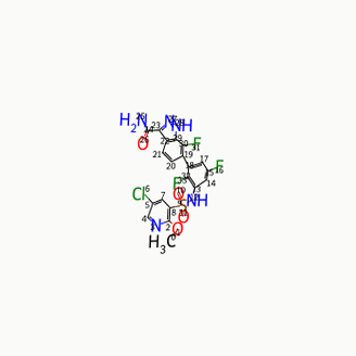 COc1ncc(Cl)cc1S(=O)(=O)Nc1cc(F)cc(-c2ccc3c(C(N)=O)n[nH]c3c2F)c1F